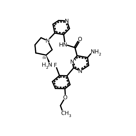 CCOc1ccc(F)c(-c2ncc(N)c(C(=O)Nc3cnccc3N3CCC[C@H](N)C3)n2)c1